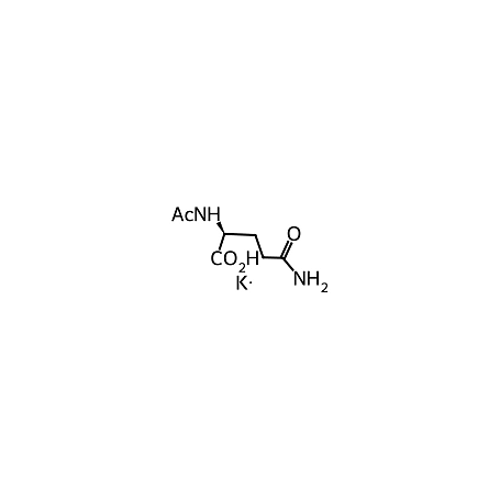 CC(=O)N[C@@H](CCC(N)=O)C(=O)O.[K]